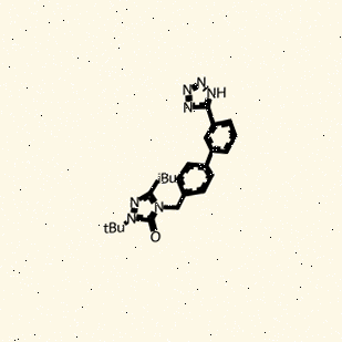 CCC(C)c1nn(C(C)(C)C)c(=O)n1Cc1ccc(-c2cccc(-c3nnn[nH]3)c2)cc1